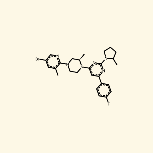 Cc1cc(Br)cnc1N1CCN(c2cc(-c3ccc(F)cc3)nc(N3CCCC3C)n2)[C@H](C)C1